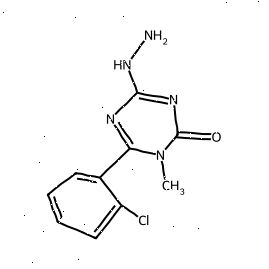 Cn1c(-c2ccccc2Cl)nc(NN)nc1=O